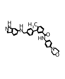 Cc1ccc(C(=O)Nc2ccc(N3CCOCC3)cc2)cc1-c1ccc(CNc2ccc3cn[nH]c3c2)cc1